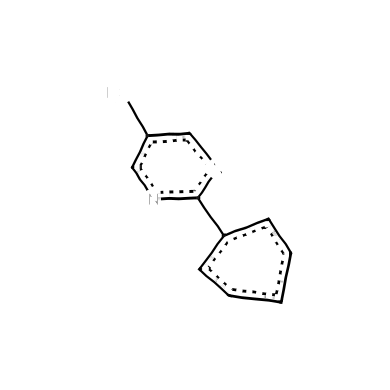 Cc1cnc(-c2cc[c]cc2)nc1